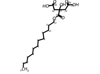 CCCCCCCCCCCCCOC(=O)C(O)(CC(=O)O)CC(=O)O